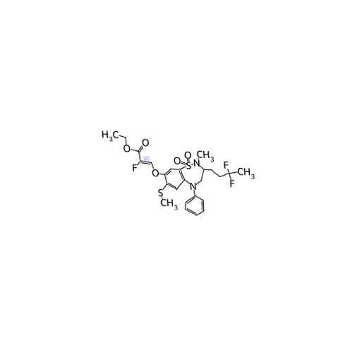 CCOC(=O)/C(F)=C/Oc1cc2c(cc1SC)N(c1ccccc1)CC(CCC(C)(F)F)N(C)S2(=O)=O